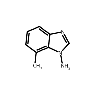 Cc1cccc2ncn(N)c12